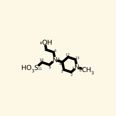 CN1CCC(N(CCO)CCS(=O)(=O)O)CC1